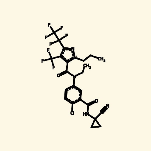 CCCn1nc(C(F)(F)C(F)(F)F)c(C(F)(F)F)c1C(=O)N(CC)c1ccc(Cl)c(C(=O)NC2(C#N)CC2)c1